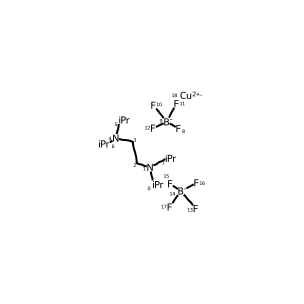 CC(C)N(CCN(C(C)C)C(C)C)C(C)C.F[B-](F)(F)F.F[B-](F)(F)F.[Cu+2]